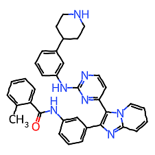 Cc1ccccc1C(=O)Nc1cccc(-c2nc3ccccn3c2-c2ccnc(Nc3cccc(C4CCNCC4)c3)n2)c1